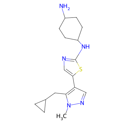 Cn1ncc(-c2cnc(NC3CCC(N)CC3)s2)c1CC1CC1